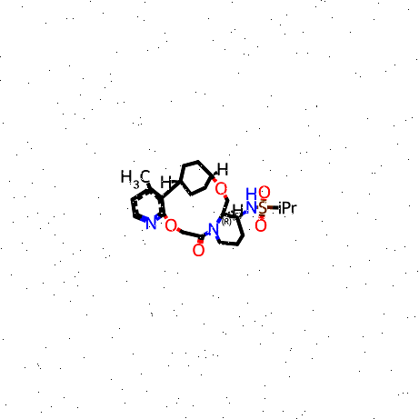 Cc1ccnc2c1[C@H]1CC[C@H](CC1)OC[C@H]1[C@@H](NS(=O)(=O)C(C)C)CCCN1C(=O)CO2